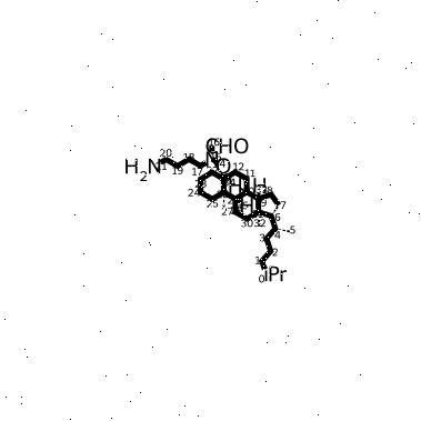 CC(C)CCC[C@@H](C)[C@H]1CC[C@H]2[C@@H]3CCC4(ON(C=O)CCCCN)CCCC[C@]4(C)[C@H]3CC[C@]12C